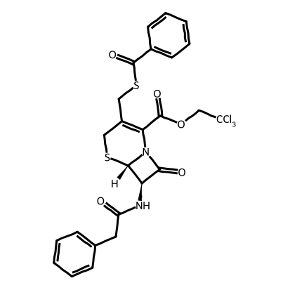 O=C(Cc1ccccc1)N[C@@H]1C(=O)N2C(C(=O)OCC(Cl)(Cl)Cl)=C(CSC(=O)c3ccccc3)CS[C@@H]12